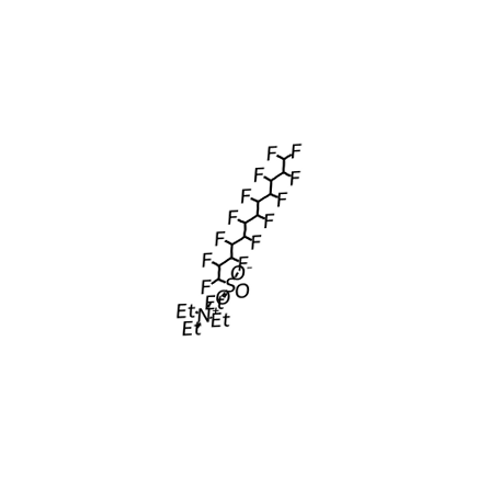 CC[N+](CC)(CC)CC.O=S(=O)([O-])C(F)C(F)C(F)C(F)C(F)C(F)C(F)C(F)C(F)C(F)C(F)C(F)F